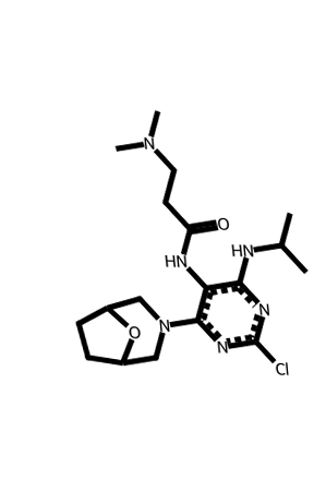 CC(C)Nc1nc(Cl)nc(N2CC3CCC(C2)O3)c1NC(=O)CCN(C)C